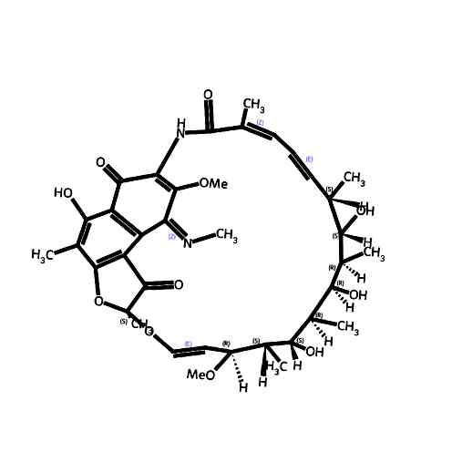 C/N=C1\C(OC)=C2NC(=O)/C(C)=C\C=C\[C@H](C)[C@H](O)[C@@H](C)[C@@H](O)[C@@H](C)[C@H](O)[C@H](C)[C@@H](OC)/C=C/O[C@@]3(C)Oc4c(C)c(O)c(c1c4C3=O)C2=O